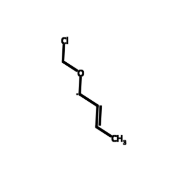 C/C=C/[CH]OCCl